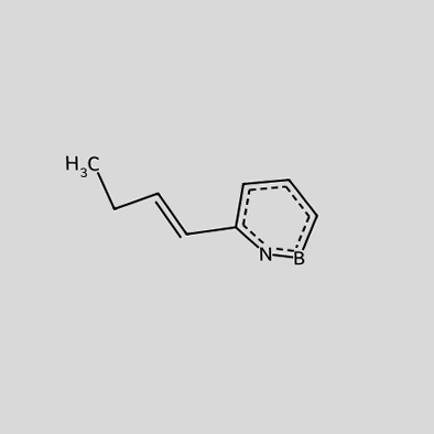 CCC=Cc1cccbn1